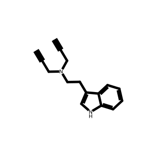 C#CCN(CC#C)CCc1c[nH]c2ccccc12